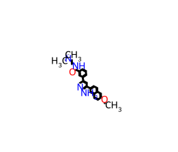 CCOc1ccc2cc(-c3cc(-c4cccc(C(=O)NCCN(C)C)c4)cnc3N)ccc2c1